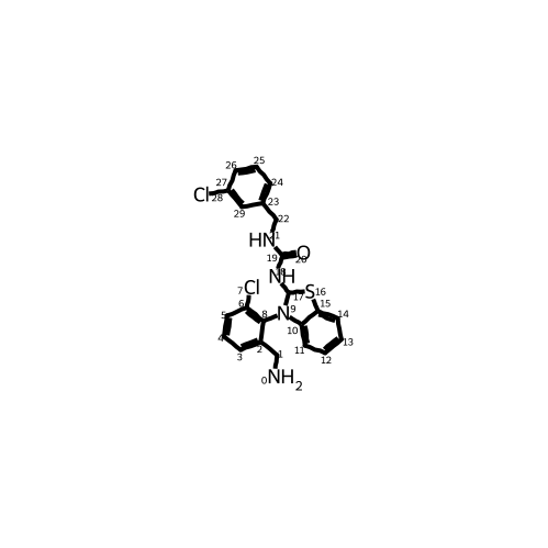 NCc1cccc(Cl)c1N1c2ccccc2SC1NC(=O)NCc1cccc(Cl)c1